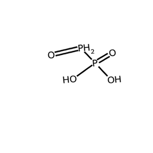 O=[PH2]P(=O)(O)O